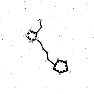 [O]Cc1nnnn1CCCCc1ccccc1